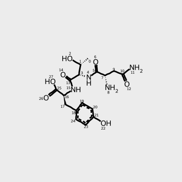 C[C@@H](O)[C@H](NC(=O)[C@@H](N)CC(N)=O)C(=O)N[C@@H](Cc1ccc(O)cc1)C(=O)O